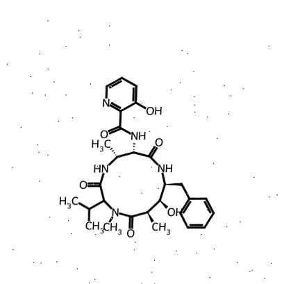 CC(C)C1C(=O)N[C@H](C)[C@H](NC(=O)c2ncccc2O)C(=O)N[C@@H](Cc2ccccc2)[C@@H](O)[C@@H](C)C(=O)N1C